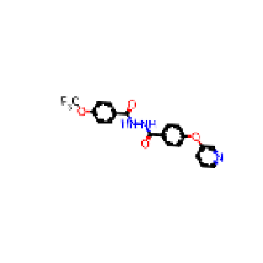 O=C(NNC(=O)c1ccc(OC(F)(F)F)cc1)c1ccc(Oc2cccnc2)cc1